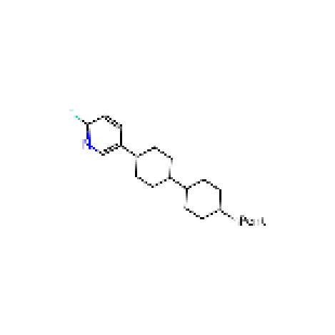 CCCCCC1CCC(C2CCC(c3ccc(F)nc3)CC2)CC1